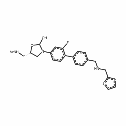 CC(=O)NC[C@H]1CN(c2ccc(-c3ccc(CNCc4nccs4)cc3)c(F)c2)C(O)O1